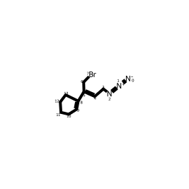 [N-]=[N+]=NCC=C(CBr)C1=CCCCC1